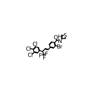 O=C(NC1CSC1)c1ccc(/C=C/C(c2cc(Cl)c(Cl)c(Cl)c2)C(F)(F)F)cc1Br